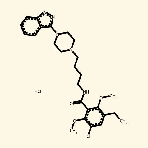 CCc1cc(Cl)c(OC)c(C(=O)NCCCCN2CCN(c3nsc4ccccc34)CC2)c1OC.Cl